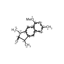 COc1nc(C)nc2cc3c(cc12)N(C)C(=O)C3C